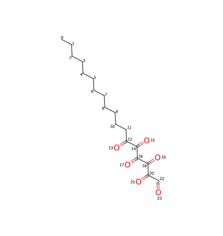 CCCCCCCCCCCCC(=O)C(=O)C(=O)C(=O)C(=O)C=O